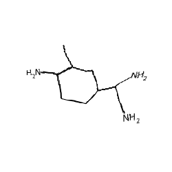 CC1CC(C(N)N)CCC1N